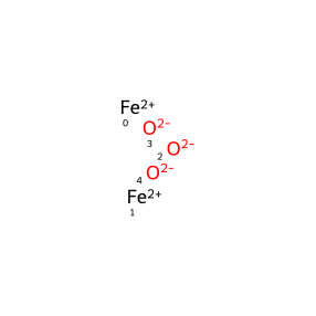 [Fe+2].[Fe+2].[O-2].[O-2].[O-2]